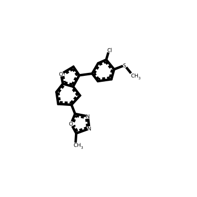 CSc1ccc(-c2coc3ccc(-c4nnc(C)o4)cc23)cc1Cl